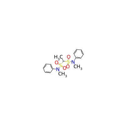 CC(S(=O)(=O)N(C)c1ccccc1)S(=O)(=O)N(C)c1ccccc1